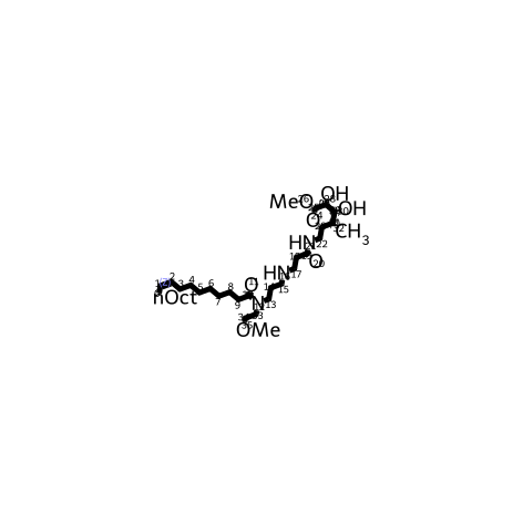 CCCCCCCC/C=C\CCCCCCCC(=O)N(CCCNCCC(=O)NCC1OC(OC)[C@@H](O)[C@H](O)[C@H]1C)CCOC